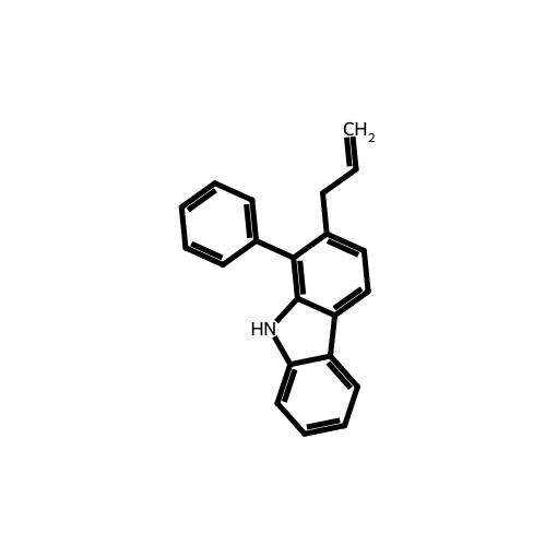 C=CCc1ccc2c([nH]c3ccccc32)c1-c1ccccc1